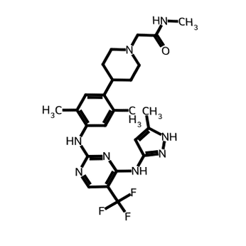 CNC(=O)CN1CCC(c2cc(C)c(Nc3ncc(C(F)(F)F)c(Nc4cc(C)[nH]n4)n3)cc2C)CC1